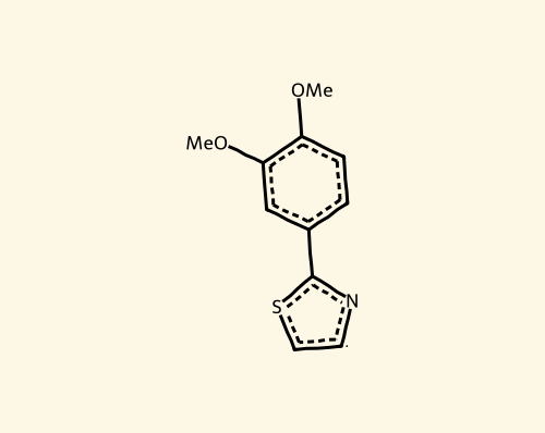 COc1ccc(-c2n[c]cs2)cc1OC